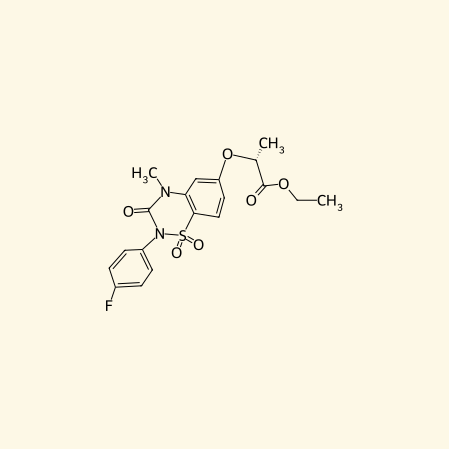 CCOC(=O)[C@@H](C)Oc1ccc2c(c1)N(C)C(=O)N(c1ccc(F)cc1)S2(=O)=O